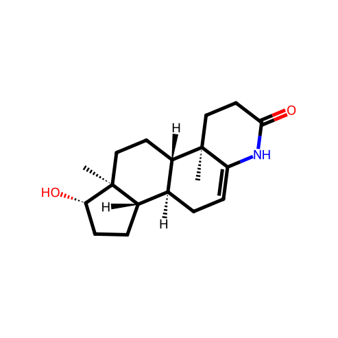 C[C@]12CC[C@H]3[C@@H](CC=C4NC(=O)CC[C@@]43C)[C@@H]1CC[C@@H]2O